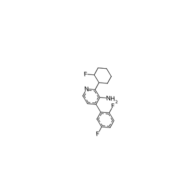 Nc1c(-c2cc(F)ccc2F)ccnc1C1CCCCC1F